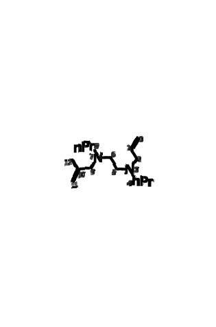 C=CCN(CCC)CCN(CCC)CC(=C)C